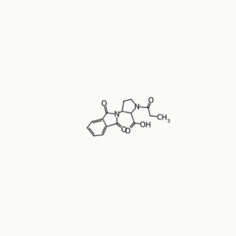 CCC(=O)N1CCC(N2C(=O)c3ccccc3C2=O)C1C(=O)O